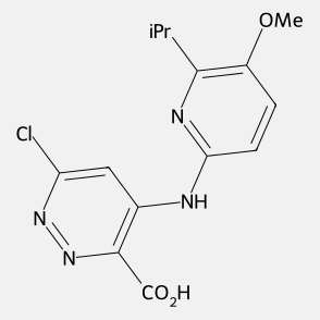 COc1ccc(Nc2cc(Cl)nnc2C(=O)O)nc1C(C)C